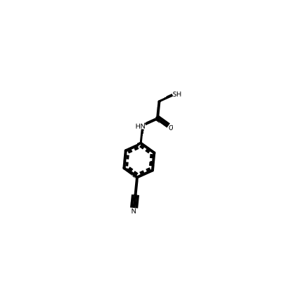 N#Cc1ccc(NC(=O)CS)cc1